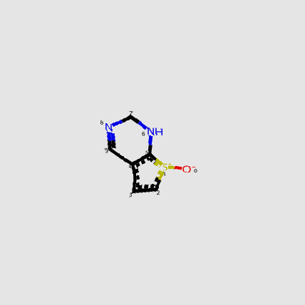 [O-][s+]1ccc2c1N[C]N=C2